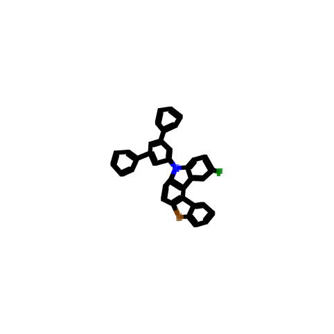 Fc1ccc2c(c1)c1c3c(ccc1n2-c1cc(-c2ccccc2)cc(-c2ccccc2)c1)sc1ccccc13